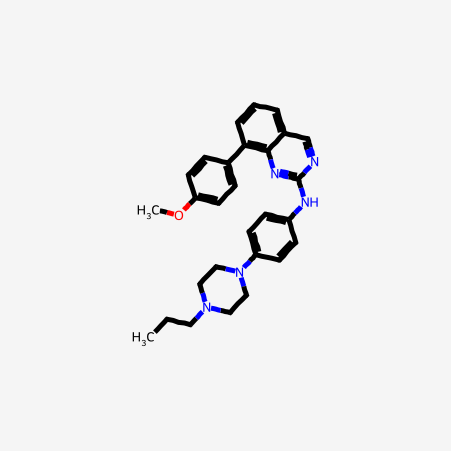 CCCN1CCN(c2ccc(Nc3ncc4cccc(-c5ccc(OC)cc5)c4n3)cc2)CC1